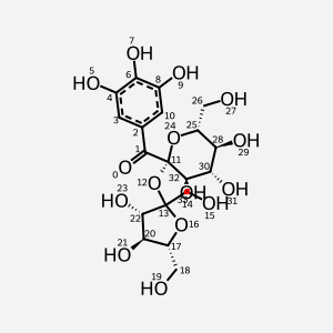 O=C(c1cc(O)c(O)c(O)c1)[C@@]1(OC2(CO)O[C@H](CO)[C@@H](O)[C@@H]2O)O[C@H](CO)[C@@H](O)[C@H](O)[C@H]1O